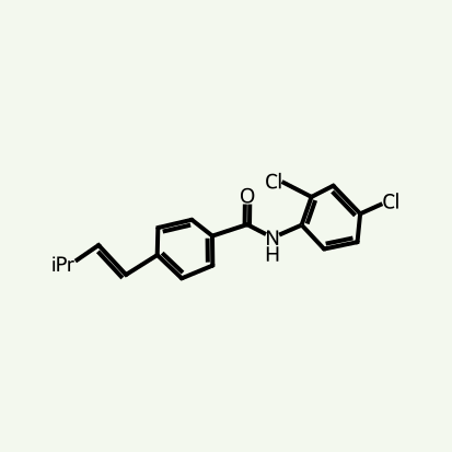 CC(C)/C=C/c1ccc(C(=O)Nc2ccc(Cl)cc2Cl)cc1